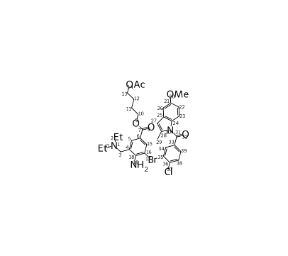 CCN(CC)Cc1cc(C(=O)OCCCCOC(C)=O)cc(Br)c1N.COc1ccc2c(c1)cc(C)n2C(=O)c1ccc(Cl)cc1